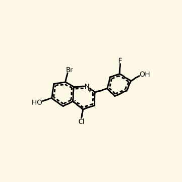 Oc1cc(Br)c2nc(-c3ccc(O)c(F)c3)cc(Cl)c2c1